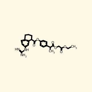 CCOC(=O)COC(=O)C(C)c1ccc(OC(=O)C2CCCc3ccc(NC(=N)N)cc32)cc1